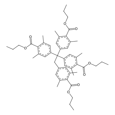 CCCOC(=O)c1c(C)cc(CC(c2cc(C)c(C(=O)OCCC)c(C)c2)(c2cc(C)c(C(=O)OCCC)c(C)c2)c2cc(C)c(C(=O)OCCC)c(C)c2)cc1C